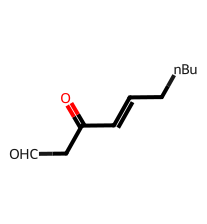 CCCCCC=CC(=O)CC=O